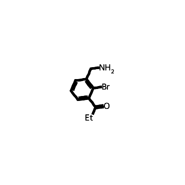 CCC(=O)c1cccc(CN)c1Br